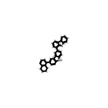 c1cc2c(c(-c3ccc4[nH]c5ccc(-c6cccc7c6sc6ccccc67)cc5c4c3)c1)CCCC2